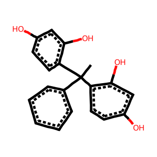 CC(c1ccccc1)(c1ccc(O)cc1O)c1ccc(O)cc1O